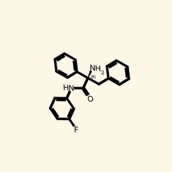 N[C@@](Cc1ccccc1)(C(=O)Nc1cccc(F)c1)c1ccccc1